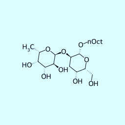 CCCCCCCCO[C@@H]1O[C@H](CO)[C@H](O)C[C@H]1O[C@@H]1O[C@@H](C)[C@@H](O)[C@@H](O)[C@@H]1O